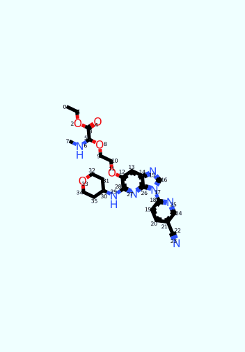 CCOC(=O)C(NC)OCCOc1cc2ncn(-c3ccc(C#N)cn3)c2nc1NC1CCOCC1